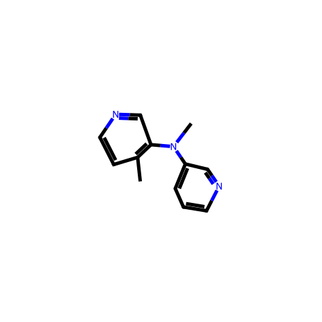 Cc1ccncc1N(C)c1cccnc1